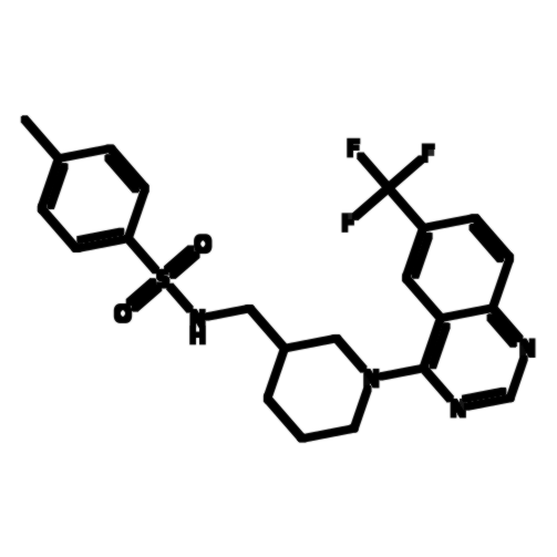 Cc1ccc(S(=O)(=O)NCC2CCCN(c3ncnc4ccc(C(F)(F)F)cc34)C2)cc1